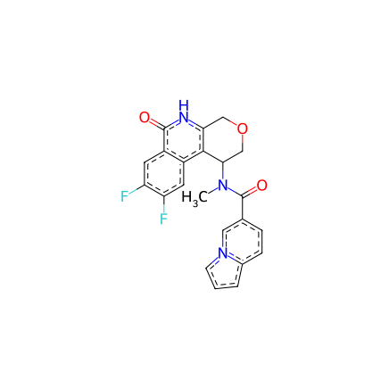 CN(C(=O)c1ccc2cccn2c1)C1COCc2[nH]c(=O)c3cc(F)c(F)cc3c21